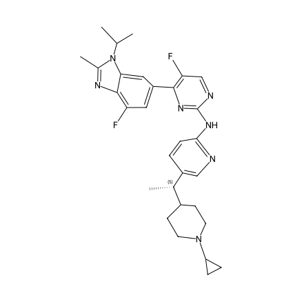 Cc1nc2c(F)cc(-c3nc(Nc4ccc([C@@H](C)C5CCN(C6CC6)CC5)cn4)ncc3F)cc2n1C(C)C